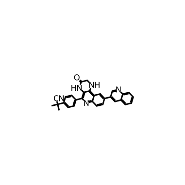 CC(C)(C#N)c1ccc(-c2nc3ccc(-c4cnc5ccccc5c4)cc3c3c2NC(=O)CN3)cc1